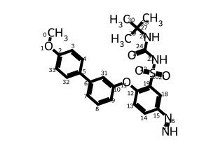 COc1ccc(-c2cccc(Oc3ccc(N=N)cc3S(=O)(=O)NC(=O)NC(C)(C)C)c2)cc1